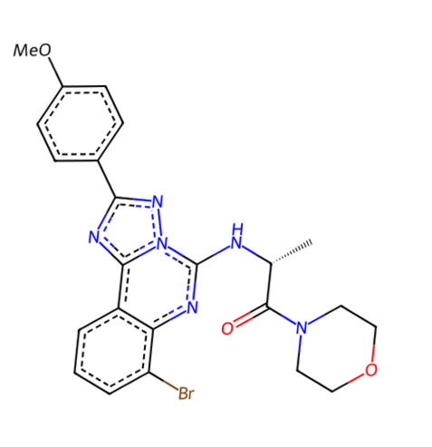 COc1ccc(-c2nc3c4cccc(Br)c4nc(N[C@H](C)C(=O)N4CCOCC4)n3n2)cc1